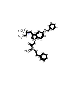 C=C/C(=C\c1cn(CC(=O)N(C)CCc2ccccc2)c2ccc(OCc3ccccc3)cc12)C(=O)O